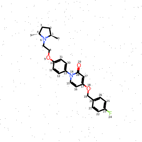 C[C@@H]1CC[C@@H](C)N1CCOc1ccc(-n2ccc(OCc3ccc(F)cc3)cc2=O)cc1